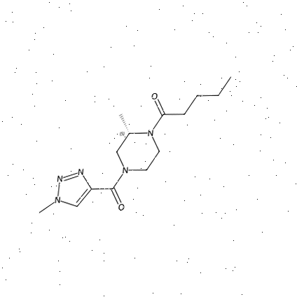 CCCCC(=O)N1CCN(C(=O)c2cn(C)nn2)C[C@@H]1C